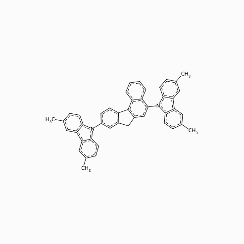 Cc1ccc2c(c1)c1cc(C)ccc1n2-c1ccc2c(c1)Cc1cc(-n3c4ccc(C)cc4c4cc(C)ccc43)c3ccccc3c1-2